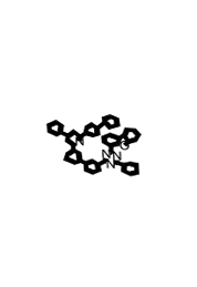 c1ccc(-c2ccc(-c3cc(-c4ccccc4)cc(-c4cccc(-c5cccc(-c6nc(-c7ccccc7)nc(-c7cccc8c7oc7ccccc78)n6)c5)c4)n3)cc2)cc1